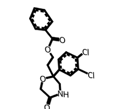 O=C1COC(CCOC(=O)c2ccccc2)(c2ccc(Cl)c(Cl)c2)CN1